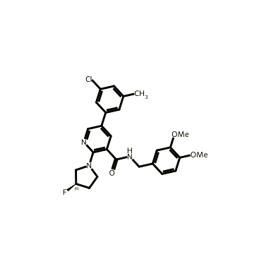 COc1ccc(CNC(=O)c2cc(-c3cc(C)cc(Cl)c3)cnc2N2CC[C@@H](F)C2)cc1OC